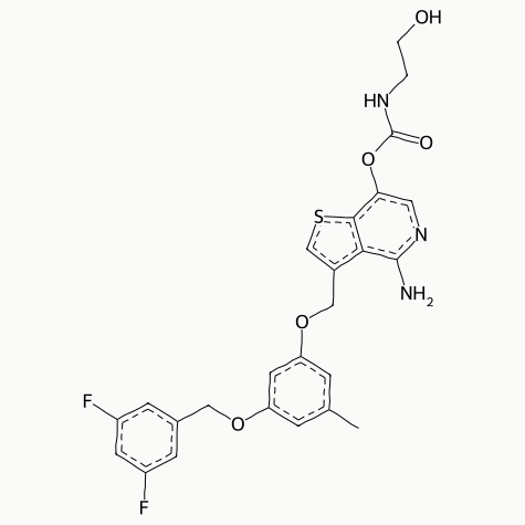 Cc1cc(OCc2cc(F)cc(F)c2)cc(OCc2csc3c(OC(=O)NCCO)cnc(N)c23)c1